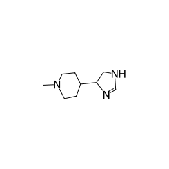 CN1CCC(C2CNC=N2)CC1